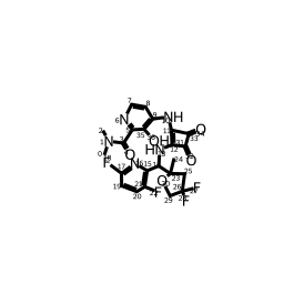 CN(C)C(=O)c1nccc(Nc2c(NC(c3nc(F)ccc3F)C3(C)CC(F)(F)CO3)c(=O)c2=O)c1O